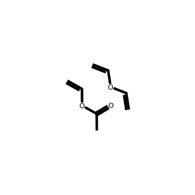 C=COC(C)=O.C=COC=C